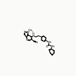 Cn1ncc2ncc(C#N)c(NCCc3ccc(NC(=O)Nc4ccccc4)cc3)c21